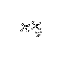 O=P([O-])([O-])O.O=P([O-])([O-])[O-].[Al+3].[Mg+2]